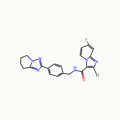 CCc1nc2cc(F)ccn2c1C(=O)NCc1ccc(-c2nc3n(n2)CCCC3)cc1